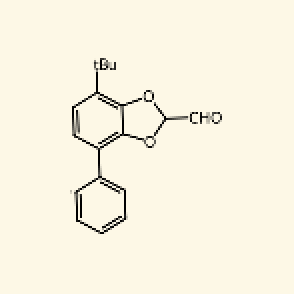 CC(C)(C)c1ccc(-c2[c]cccc2)c2c1OC(C=O)O2